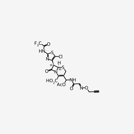 C#CCON=CC(=O)NC(OC(C)=O)C1=C(C(=O)O)N2C(=O)[C@@H](c3nc(NC(=O)C(F)(F)F)sc3Cl)[C@H]2SC1